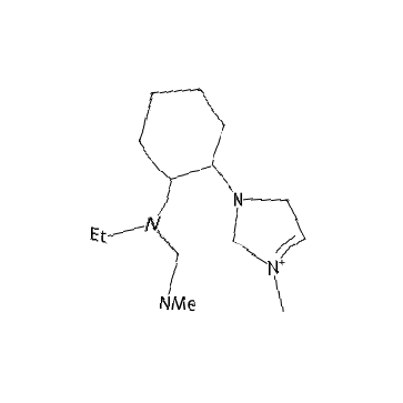 CCN(CNC)C1CCCCC1N1CC=[N+](C)C1